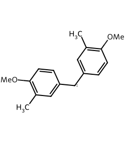 COc1ccc([C]c2ccc(OC)c(C)c2)cc1C